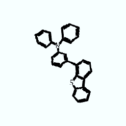 c1ccc(N(c2ccccc2)c2cccc(-c3cccc4c3sc3ccccc34)c2)cc1